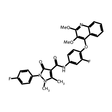 COc1nc2ccccc2c(Oc2ccc(NC(=O)c3c(C)n(C)n(-c4ccc(F)cc4)c3=O)cc2F)c1OC